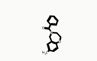 Cc1ccc2c(c1)CN(C(=O)c1ccccc1)CCO2